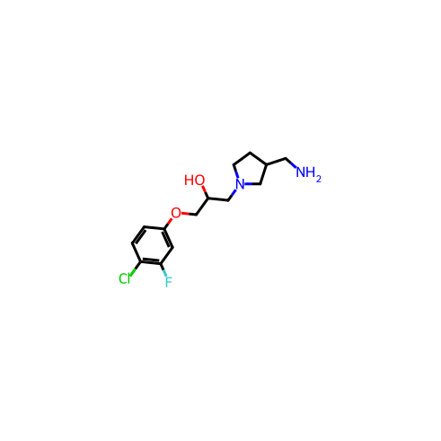 NCC1CCN(CC(O)COc2ccc(Cl)c(F)c2)C1